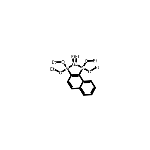 CCO[Si](OCC)(OCC)c1ccc2ccccc2c1[Si](OCC)(OCC)OCC